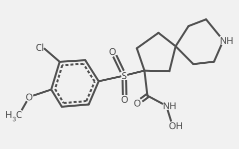 COc1ccc(S(=O)(=O)C2(C(=O)NO)CCC3(CCNCC3)C2)cc1Cl